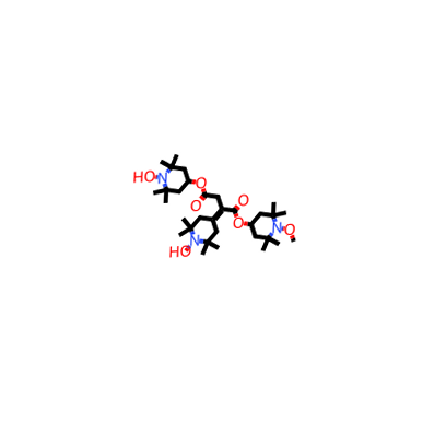 CON1C(C)(C)CC(OC(=O)C(CC(=O)OC2CC(C)(C)N(O)C(C)(C)C2)=C2CC(C)(C)N(O)C(C)(C)C2)CC1(C)C